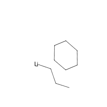 C1CCCCC1.[Li][CH2]CC